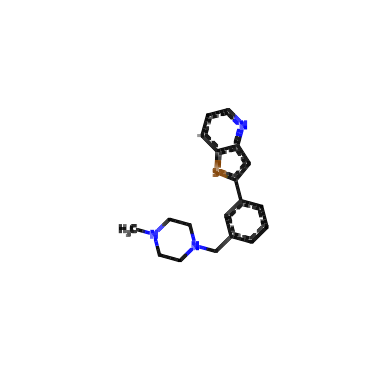 CN1CCN(Cc2cccc(-c3cc4ncc[c]c4s3)c2)CC1